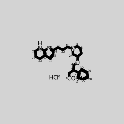 Cl.O=C(O)CC(COC1CCCN(CCCc2ccc3c(n2)NCCC3)C1)c1ccccc1